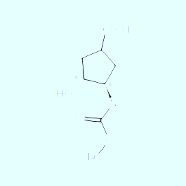 CC(C)(C)OC(=O)N[C@@H]1CC(C(=O)O)C[C@H]1O